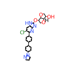 O[C@@H]1COC2[C@H](Oc3nc4nc(-c5ccc(-c6ccc(-n7cccn7)cc6)cc5)c(Cl)cc4[nH]3)CO[C@@H]21